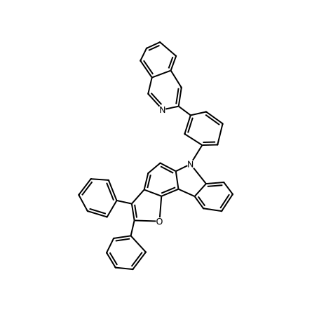 c1ccc(-c2oc3c(ccc4c3c3ccccc3n4-c3cccc(-c4cc5ccccc5cn4)c3)c2-c2ccccc2)cc1